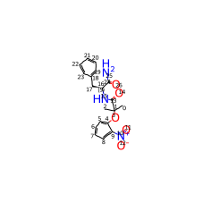 CC(C)(Oc1ccccc1[N+](=O)[O-])C(=O)N[C@@H](Cc1ccccc1)C(N)=O